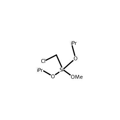 CO[Si](CCl)(OC(C)C)OC(C)C